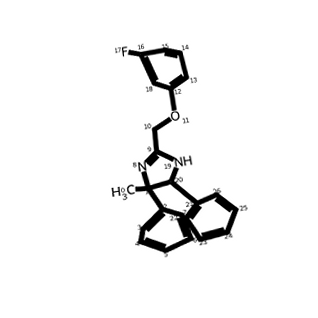 CC1(c2ccccc2)N=C(COc2cccc(F)c2)NC1c1ccccc1